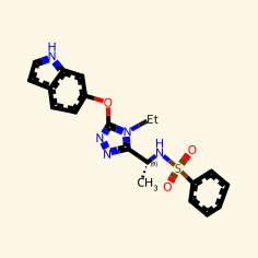 CCn1c(Oc2ccc3cc[nH]c3c2)nnc1[C@@H](C)NS(=O)(=O)c1ccccc1